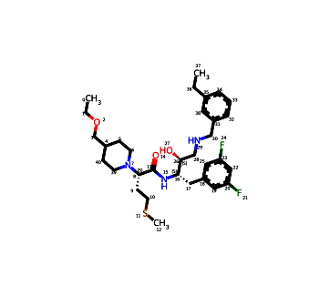 CCOCC1CCN([C@@H](CCSC)C(=O)N[C@@H](Cc2cc(F)cc(F)c2)[C@@H](O)CNCc2cccc(CC)c2)CC1